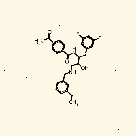 CCc1cccc(CNC[C@H](O)[C@H](Cc2cc(F)cc(F)c2)NC(=O)c2ccc(C(C)=O)cc2)c1